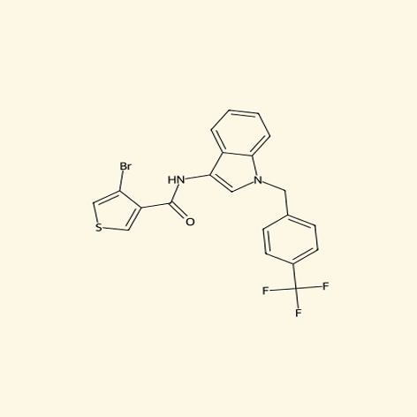 O=C(Nc1cn(Cc2ccc(C(F)(F)F)cc2)c2ccccc12)c1cscc1Br